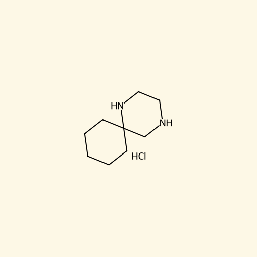 C1CCC2(CC1)CNCCN2.Cl